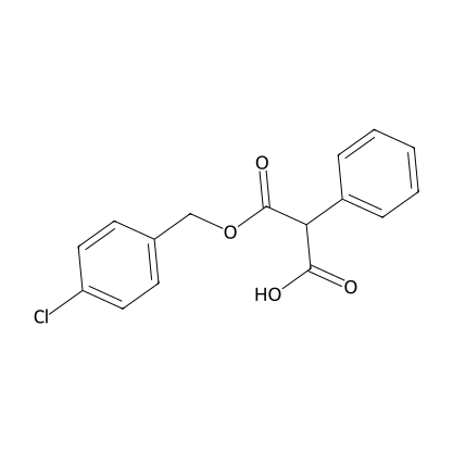 O=C(O)C(C(=O)OCc1ccc(Cl)cc1)c1ccccc1